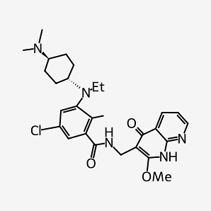 CCN(c1cc(Cl)cc(C(=O)NCc2c(OC)[nH]c3ncccc3c2=O)c1C)[C@H]1CC[C@H](N(C)C)CC1